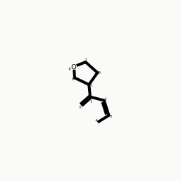 C=C(/C=C\C)C1CCOC1